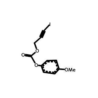 COc1ccc(OC(=O)OCC#CI)cc1